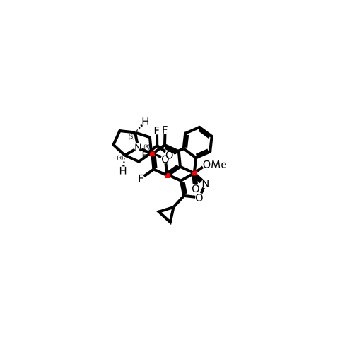 COC(=O)c1cc(F)c(N2[C@@H]3CC[C@H]2C[C@@H](OCc2c(-c4ccccc4OC(F)F)noc2C2CC2)C3)c(F)c1